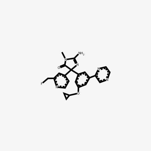 CN1C(=O)C(c2cc(OC3CC3)cc(-c3cnccn3)c2)(c2ccnc(CF)c2)N=C1N